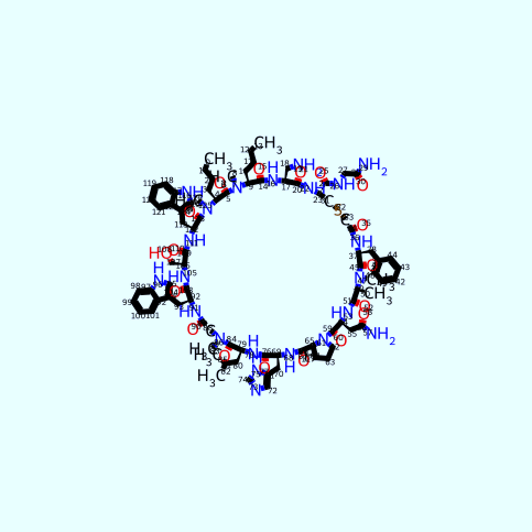 CCCC[C@H]1C(=O)N(C)[C@@H](CCCC)C(=O)N[C@@H](CN)C(=O)N[C@H](C(=O)NCC(N)=O)CSCC(=O)N[C@@H](Cc2ccccc2)C(=O)N(C)[C@@H](C)C(=O)N[C@@H](CC(N)=O)C(=O)N2CCC[C@H]2C(=O)N[C@@H](Cc2cnc[nH]2)C(=O)N[C@@H](CC(C)C)C(=O)N(C)CC(=O)N[C@@H](Cc2c[nH]c3ccccc23)C(=O)N[C@@H](CO)C(=O)N[C@@H](Cc2c[nH]c3ccccc23)C(=O)N1C